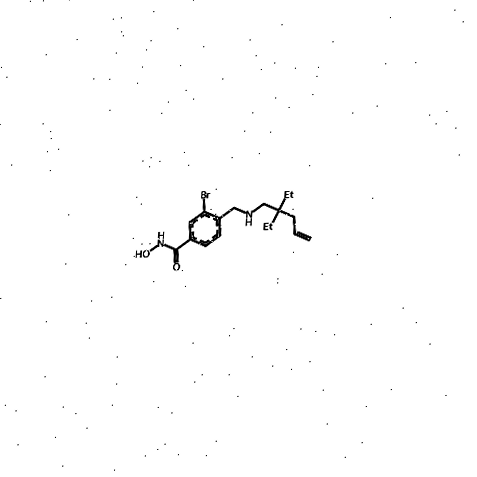 C=CCC(CC)(CC)CNCc1ccc(C(=O)NO)cc1Br